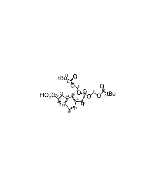 CC(C)(C)C(=O)OCOP(=O)(OCOC(=O)C(C)(C)C)[C@@H](F)c1ccc2sc(C(=O)O)cc2c1